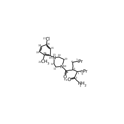 CCCC(C(N)=O)C(CC(C)C)C(=O)N1CCN(c2cc(Cl)ccc2C)CC1